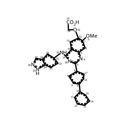 COc1cc2nc(-c3ccc(-c4ccccc4)cc3)nc(Nc3ccc4[nH]ncc4c3)c2cc1OCC(=O)O